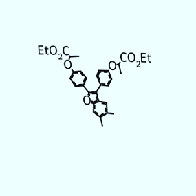 CCOC(=O)C(C)Oc1ccc(-c2oc3cc(C)c(C)cc3c2-c2ccc(OC(C)C(=O)OCC)cc2)cc1